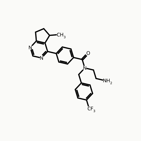 CC1CCc2ncnc(-c3ccc(C(=O)N(CCN)Cc4ccc(C(F)(F)F)cc4)cc3)c21